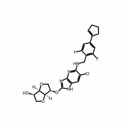 O[C@@H]1CO[C@H]2[C@@H]1OC[C@H]2Oc1nc2nc(NCc3c(F)cc(C4=CCCC4)cc3F)c(Cl)cc2[nH]1